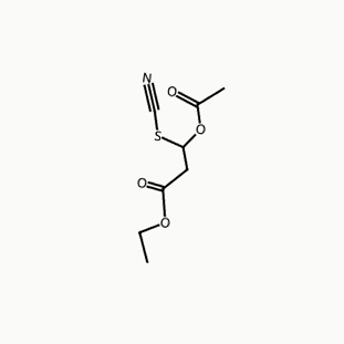 CCOC(=O)CC(OC(C)=O)SC#N